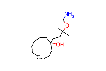 CC(C)(CCC1(O)CCCCCCCCC1)OCN